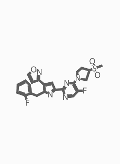 CS(=O)(=O)C1CCN(c2nc(C3=NC(Cc4ccccc4F)C(c4ccon4)=C3)ncc2F)C1